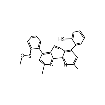 COSc1ccccc1-c1cc(C)nc2c1ccc1c(-c3ccccc3S)cc(C)nc12